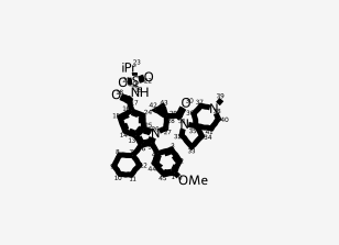 COc1ccc(-c2c(C3CCCCC3)c3ccc(C(=O)NS(=O)(=O)C(C)C)cc3n2CC2(C(=O)N3CCCC34CCN(C)CC4)CC2)cc1